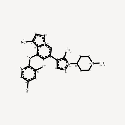 Cc1c(-c2cc(Sc3ncc(Cl)cc3F)c3c(C#N)cnn3c2)cnn1C1CCN(C)CC1